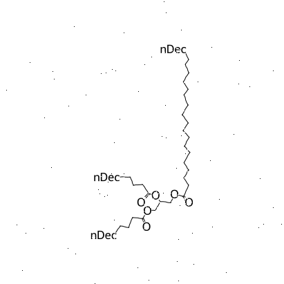 CCCCCCCCCCCCCCCCCCCCCCCCCCCC(=O)OCC(COC(=O)CCCCCCCCCCCCC)OC(=O)CCCCCCCCCCCCC